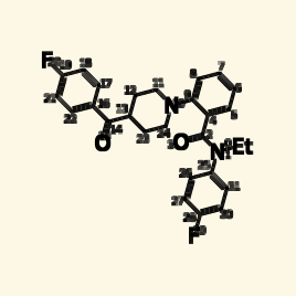 CCN(C(=O)c1ccccc1N1CCC(C(=O)c2ccc(F)cc2)CC1)c1ccc(F)cc1